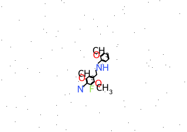 COc1ccccc1CNCCc1cc(OC)c(C#N)c(F)c1OC